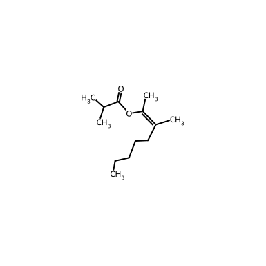 CCCCCC(C)=C(C)OC(=O)C(C)C